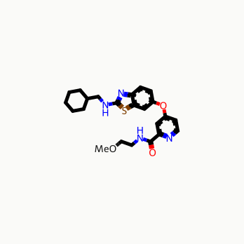 COCCNC(=O)c1cc(Oc2ccc3nc(NCC4CCCCC4)sc3c2)ccn1